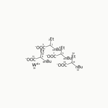 CCCCC(CC)C(=O)[O-].CCCCC(CC)C(=O)[O-].CCCCC(CC)C(=O)[O-].CCCCC(CC)C(=O)[O-].[W+4]